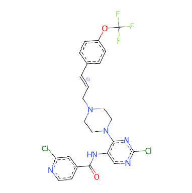 O=C(Nc1cnc(Cl)nc1N1CCN(C/C=C/c2ccc(OC(F)(F)F)cc2)CC1)c1ccnc(Cl)c1